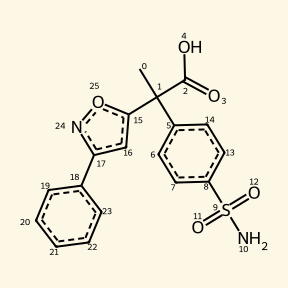 CC(C(=O)O)(c1ccc(S(N)(=O)=O)cc1)c1cc(-c2ccccc2)no1